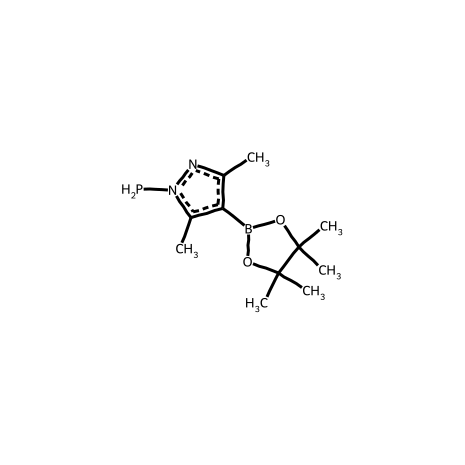 Cc1nn(P)c(C)c1B1OC(C)(C)C(C)(C)O1